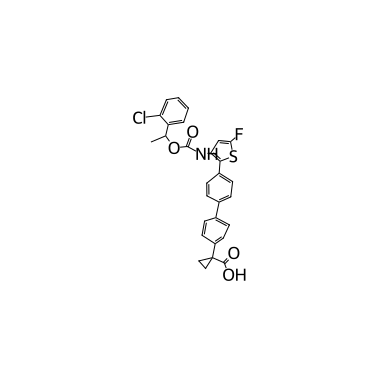 CC(OC(=O)Nc1cc(F)sc1-c1ccc(-c2ccc(C3(C(=O)O)CC3)cc2)cc1)c1ccccc1Cl